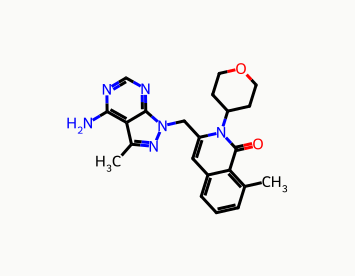 Cc1nn(Cc2cc3cccc(C)c3c(=O)n2C2CCOCC2)c2ncnc(N)c12